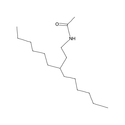 CCCCCCC(CCCCCC)CCNC(C)=O